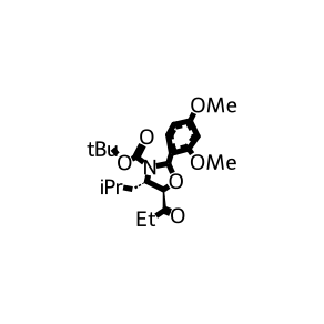 CCC(=O)[C@@H]1OC(c2ccc(OC)cc2OC)N(C(=O)OC(C)(C)C)[C@H]1CC(C)C